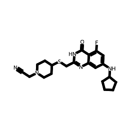 N#CCN1CCC(SCc2nc3cc(NC4CCCC4)cc(F)c3c(=O)[nH]2)CC1